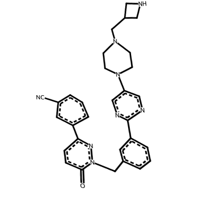 N#Cc1cccc(-c2ccc(=O)n(Cc3cccc(-c4ncc(N5CCN(CC6CNC6)CC5)cn4)c3)n2)c1